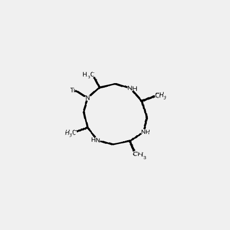 CC1CNC(C)C[N]([Ti])C(C)CNC(C)CN1